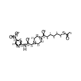 CC(=O)SCCCCCC(=O)N1CCN(CC(=O)Nc2ncc([N+](=O)[O-])s2)CC1